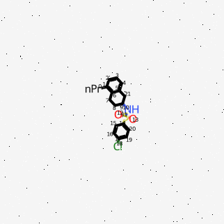 CCCc1cccc2c1CCC(NS(=O)(=O)c1ccc(Cl)cc1)C2